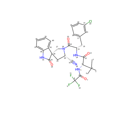 CC(C)(C)[C@H](NC(=O)C(F)(F)F)C(=O)N[C@@H](Cc1cccc(Cl)c1)C(=O)N1C[C@]2(C[C@H]1C#N)C(=O)Nc1ccccc12